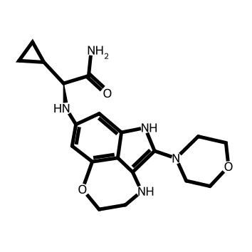 NC(=O)[C@@H](Nc1cc2c3c(c(N4CCOCC4)[nH]c3c1)NCCO2)C1CC1